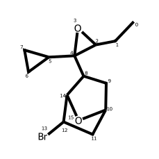 CCC1OC1(C1CC1)C1CC2CC(Br)C1O2